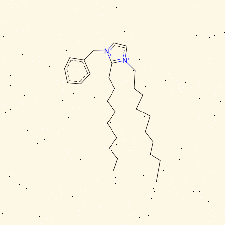 CCCCCCCCCC[n+]1ccn(Cc2ccccc2)c1CCCCCCCCC